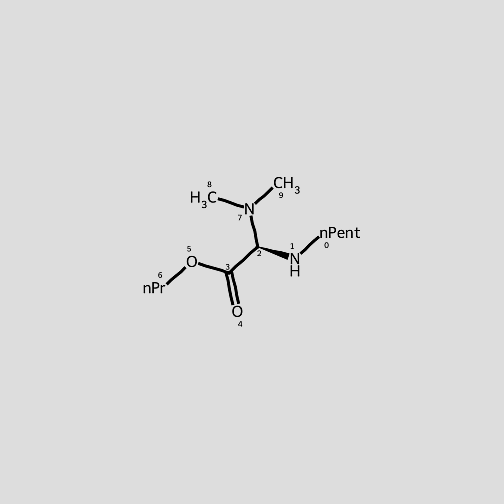 CCCCCN[C@@H](C(=O)OCCC)N(C)C